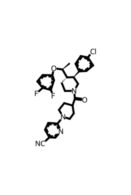 C[C@H](Oc1ccc(F)c(F)c1)[C@H]1CCN(C(=O)C2CCN(c3ccc(C#N)cn3)CC2)C[C@@H]1c1ccc(Cl)cc1